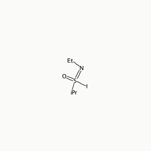 CCN=S(=O)(I)C(C)C